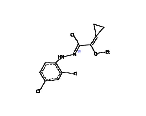 CCOC(=C1CC1)/C(Cl)=N/Nc1ccc(Cl)cc1Cl